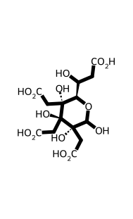 O=C(O)CC(O)[C@H]1OC(O)[C@@](O)(CC(=O)O)[C@](O)(CC(=O)O)[C@@]1(O)CC(=O)O